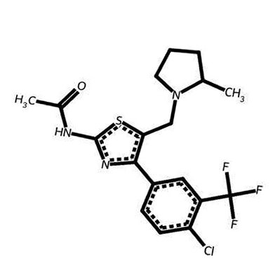 CC(=O)Nc1nc(-c2ccc(Cl)c(C(F)(F)F)c2)c(CN2CCCC2C)s1